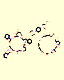 CC(=O)NC[C@H]1CN(c2ccc(N3CCOCC3)c(F)c2)C(=O)O1.CC1=C/C(O)CC(=O)Cc2nc(co2)C(=O)N2CCC=C2C(=O)OC(C(C)C)C(C)/C=C\C(=O)NC/C=C\1.CCC1NC(=O)C(NC(=O)c2ncccc2O)C(C)OC(=O)C(c2ccccc2)NC(=O)C2CC(=O)CCN2C(=O)C(Cc2ccccc2)N(C)C(=O)C2CCCN2C1=O